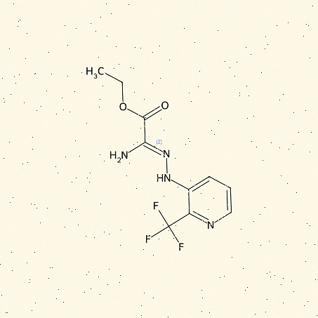 CCOC(=O)/C(N)=N/Nc1cccnc1C(F)(F)F